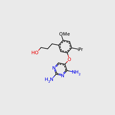 COc1cc(C(C)C)c(Oc2cnc(N)nc2N)cc1CCCO